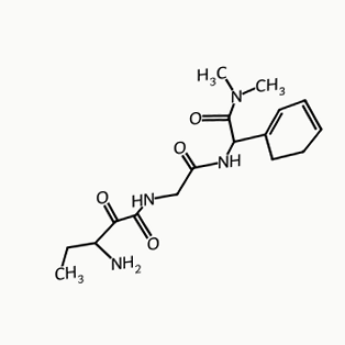 CCC(N)C(=O)C(=O)NCC(=O)NC(C(=O)N(C)C)C1=CC=CCC1